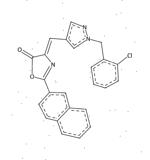 O=C1OC(c2ccc3ccccc3c2)=NC1=Cc1cnn(Cc2ccccc2Cl)c1